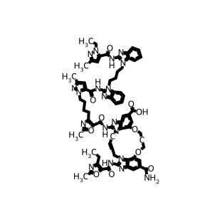 CCc1nc(C)oc1C(=O)Nc1nc2cc(C(N)=O)cc3c2n1C/C=C\Cn1c(NC(=O)c2oc(C)nc2CCCCn2nc(C)cc2C(=O)Nc2nc4ccccc4n2CCCCn2c(NC(=O)c4cc(C)nn4CC)nc4ccccc42)nc2cc(C(=O)O)cc(c21)OCCCO3